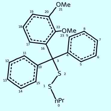 CCCSSC(c1ccccc1)(c1ccccc1)c1cccc(OC)c1OC